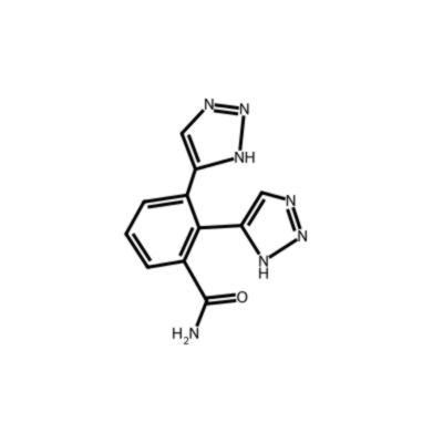 NC(=O)c1cccc(-c2cnn[nH]2)c1-c1cnn[nH]1